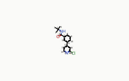 CC(C)(C)NC(=O)c1cccc(-c2ccnc(Cl)c2)c1